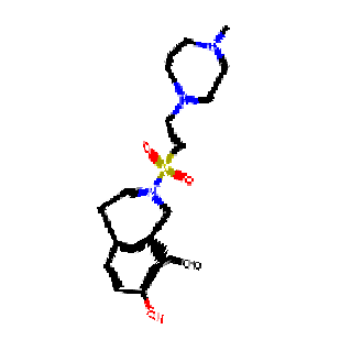 CN1CCN(CCS(=O)(=O)N2CCc3ccc(O)c(C=O)c3C2)CC1